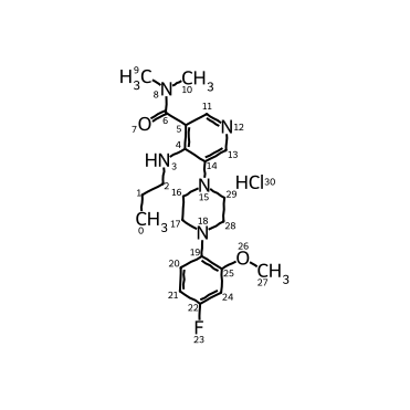 CCCNc1c(C(=O)N(C)C)cncc1N1CCN(c2ccc(F)cc2OC)CC1.Cl